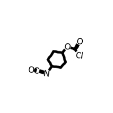 O=C=NC1CCC(OC(=O)Cl)CC1